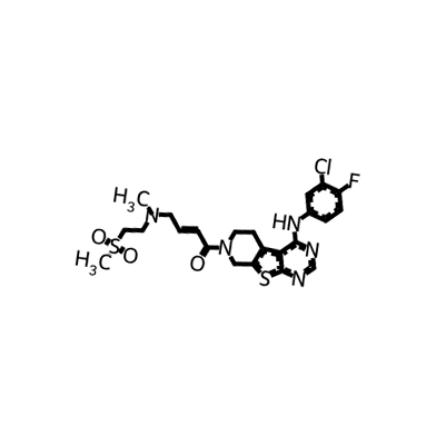 CN(CC=CC(=O)N1CCc2c(sc3ncnc(Nc4ccc(F)c(Cl)c4)c23)C1)CCS(C)(=O)=O